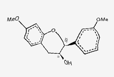 COc1cccc([C@@H]2Oc3cc(OC)ccc3C[C@@H]2O)c1